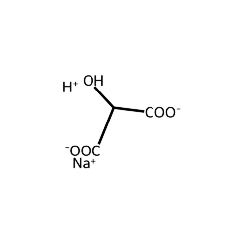 O=C([O-])C(O)C(=O)[O-].[H+].[Na+]